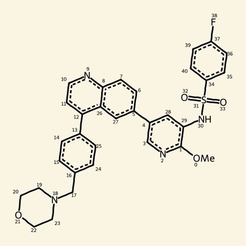 COc1ncc(-c2ccc3nccc(-c4ccc(CN5CCOCC5)cc4)c3c2)cc1NS(=O)(=O)c1ccc(F)cc1